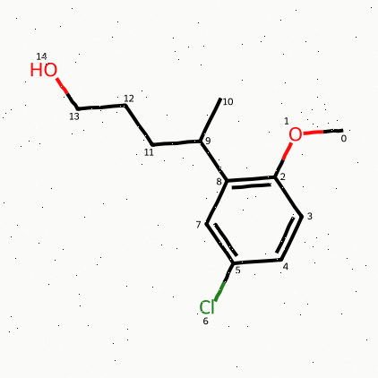 COc1ccc(Cl)cc1C(C)CCCO